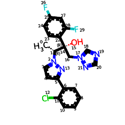 C[C@@H](n1ccc(-c2ccccc2Cl)n1)[C@](O)(Cn1cncn1)c1ccc(F)cc1F